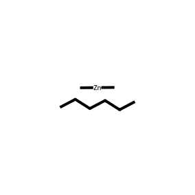 CCCCCC.[CH3][Zn][CH3]